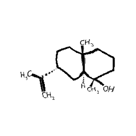 C=C(C)[C@@H]1CC[C@]2(C)CCC[C@](C)(O)[C@H]2C1